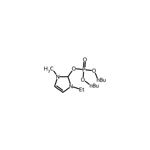 CCCCOP(=O)(OCCCC)OC1N(C)C=CN1CC